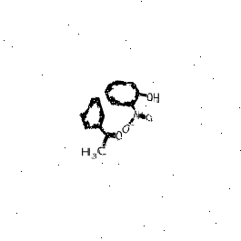 CC(=O)c1ccccc1.O=[N+]([O-])c1ccccc1O